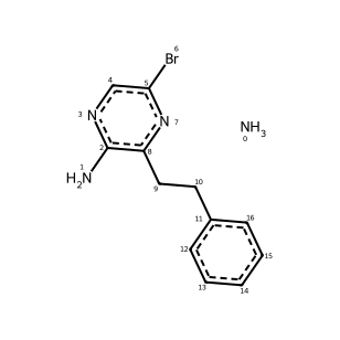 N.Nc1ncc(Br)nc1CCc1ccccc1